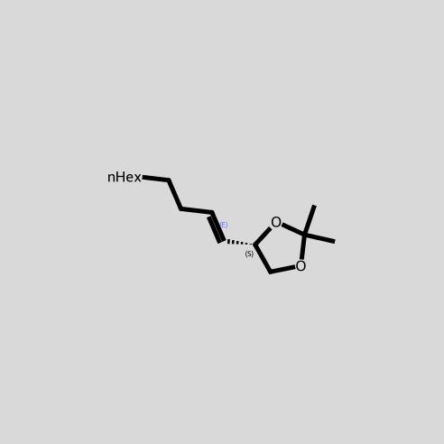 CCCCCCCC/C=C/[C@H]1COC(C)(C)O1